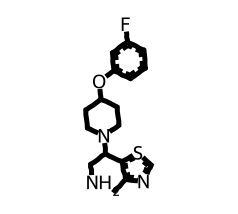 Cc1ncsc1C(CN)N1CCC(Oc2cccc(F)c2)CC1